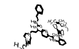 CN1CCN(CCC(NC(=O)NCCc2ccccc2)c2ccc(C(=O)Nc3ccccc3NC(=O)OC(C)(C)C)nc2)CC1